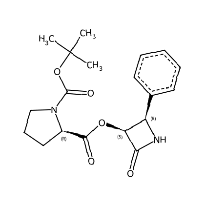 CC(C)(C)OC(=O)N1CCC[C@@H]1C(=O)O[C@@H]1C(=O)N[C@@H]1c1ccccc1